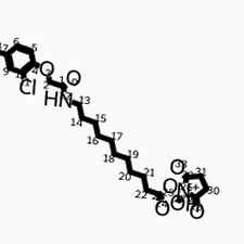 O=C(COc1ccc(Cl)cc1Cl)NCCCCCCCCCCC(=O)O[N+]1(O)C(=O)CCC1=O